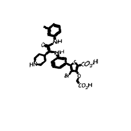 Cc1cccc(NC(=O)C(Nc2cccc(-c3sc(C(=O)O)c(OCC(=O)O)c3Br)c2)C2CCNCC2)c1